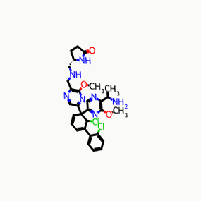 COc1nc(C2(c3cnc(C(C)N)c(OC)n3)C=CC=C(c3ccccc3Cl)C2Cl)cnc1CNC[C@@H]1CCC(=O)N1